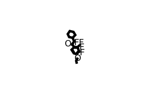 CCOc1ccc(C(=O)CC2CCCCC2)c(C(F)(F)F)c1F